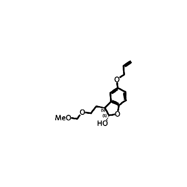 C=CCOc1ccc2c(c1)[C@H](CCOCOC)[C@@H](O)O2